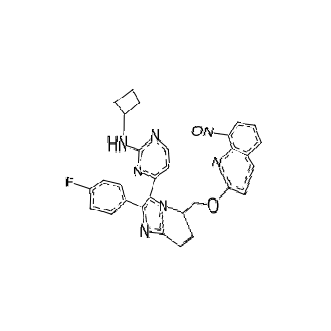 O=Nc1cccc2ccc(OCC3CCc4nc(-c5ccc(F)cc5)c(-c5ccnc(NC6CCC6)n5)n43)nc12